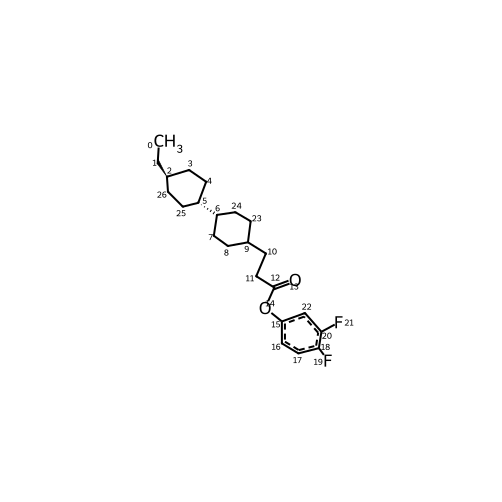 CC[C@H]1CC[C@H](C2CCC(CCC(=O)Oc3ccc(F)c(F)c3)CC2)CC1